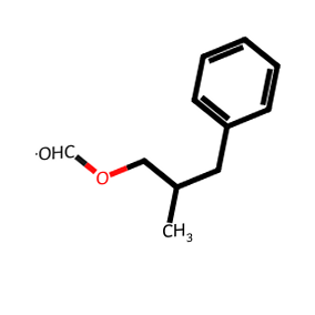 CC(CO[C]=O)Cc1ccccc1